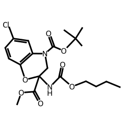 CCCCOC(=O)NC1(C(=O)OC)CN(C(=O)OC(C)(C)C)c2cc(Cl)ccc2O1